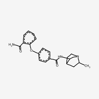 CC1CC2CCN1CC2NC(=O)c1ccc(Oc2ccccc2C(N)=O)cc1